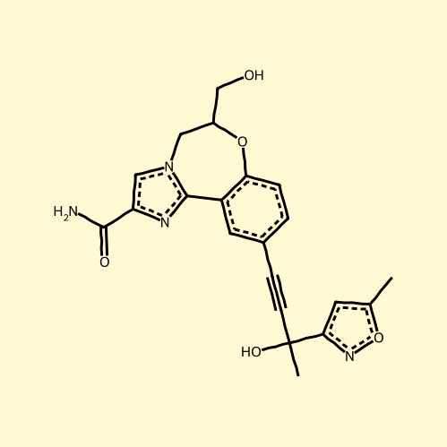 Cc1cc(C(C)(O)C#Cc2ccc3c(c2)-c2nc(C(N)=O)cn2CC(CO)O3)no1